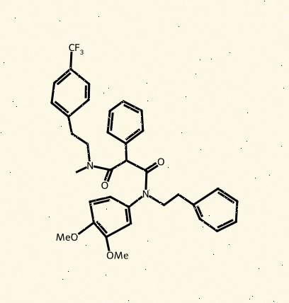 COc1ccc(N(CCc2ccccc2)C(=O)C(C(=O)N(C)CCc2ccc(C(F)(F)F)cc2)c2ccccc2)cc1OC